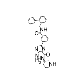 Nc1ncc(-c2cccc(C(=O)NCc3ccccc3-c3ccccc3)c2)nc1C(=O)N[C@H]1CCCNC1